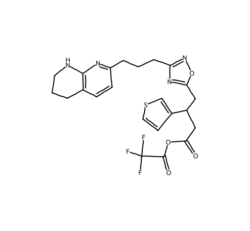 O=C(CC(Cc1nc(CCCc2ccc3c(n2)NCCC3)no1)c1ccsc1)OC(=O)C(F)(F)F